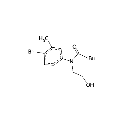 CCC(C)C(=O)N(CCO)c1ccc(Br)c(C)c1